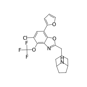 FC(F)(F)Oc1c(Cl)cc(-c2ccco2)c2oc(CC3CC4CCC(C3)N4)nc12